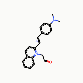 CN(C)c1ccc(/C=C/c2ccc3ccccc3[n+]2CC=O)cc1